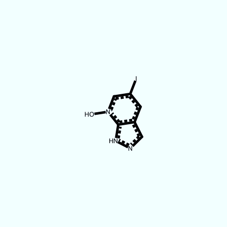 O[n+]1cc(I)cc2cn[nH]c21